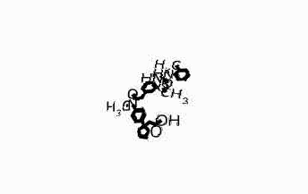 COc1cc(CC(=O)N(C)c2ccc(C3(CC(=O)O)CCCC3)cc2)ccc1NC(=O)Nc1ccccc1C